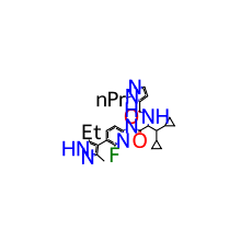 CCCn1nccc1C(=O)NC(C(=O)Nc1ccc(-c2c(C)n[nH]c2CC)c(F)n1)C(C1CC1)C1CC1